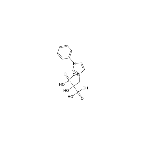 O=P(O)(O)C(O)(C[n+]1ccn(-c2ccccc2)c1)P(=O)(O)O